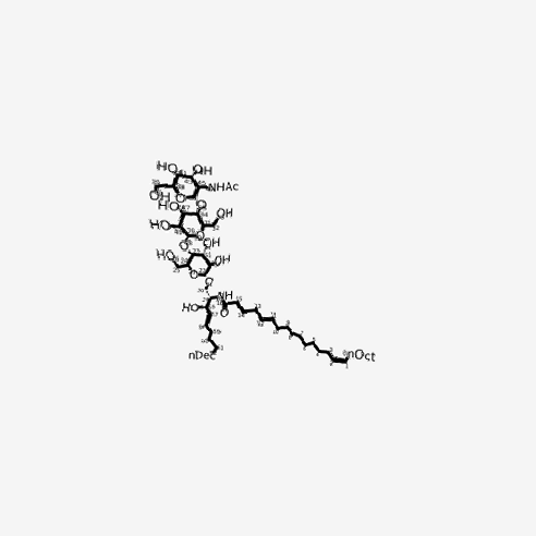 CCCCCCCC/C=C\CCCCCCCCCCCCCC(=O)N[C@@H](CO[C@@H]1OC(CO)[C@@H](O[C@@H]2OC(CO)[C@H](O[C@@H]3OC(CO)[C@H](O)[C@H](O)C3NC(C)=O)[C@H](O)C2O)[C@H](O)C1O)[C@H](O)/C=C/CCCCCCCCCCCCC